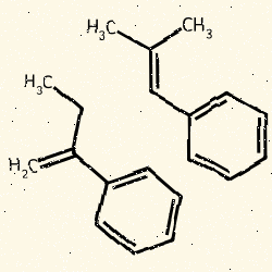 C=C(CC)c1ccccc1.CC(C)=Cc1ccccc1